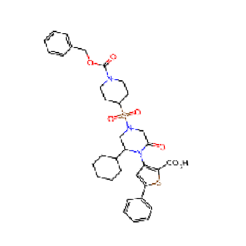 O=C(O)c1sc(-c2ccccc2)cc1N1C(=O)CN(S(=O)(=O)C2CCN(C(=O)OCc3ccccc3)CC2)CC1C1CCCCC1